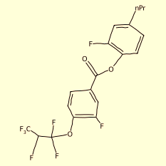 CCCc1ccc(OC(=O)c2ccc(OC(F)(F)C(F)C(F)(F)F)c(F)c2)c(F)c1